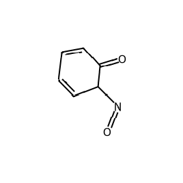 O=NC1C=CC=CC1=O